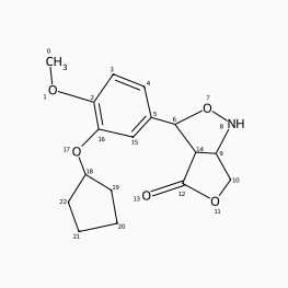 COc1ccc(C2ONC3COC(=O)C32)cc1OC1CCCC1